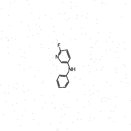 Fc1ccc(Nc2ccccc2)cn1